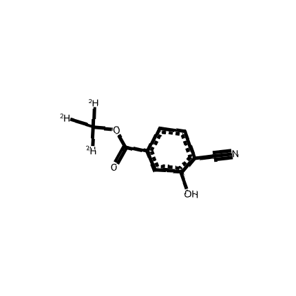 [2H]C([2H])([2H])OC(=O)c1ccc(C#N)c(O)c1